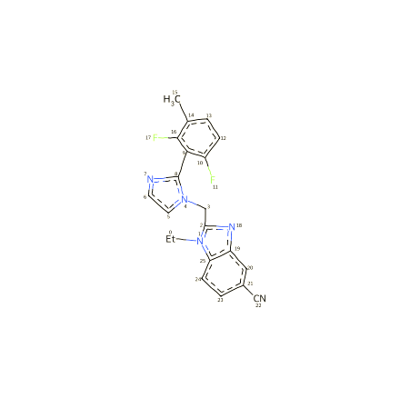 CCn1c(Cn2ccnc2-c2c(F)ccc(C)c2F)nc2cc(C#N)ccc21